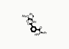 CCCN(CCC)C(=O)c1cccc(C(=O)N[C@@H](CC(C)C)C(=O)OC)c1